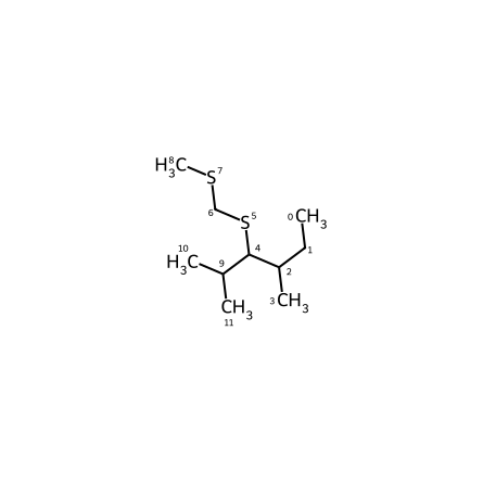 CCC(C)C(SCSC)C(C)C